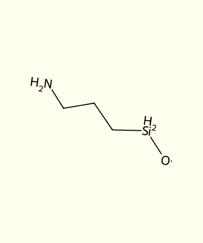 NCCC[SiH2][O]